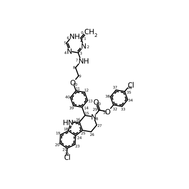 C=C/N=C(\N=C/N)NCCOc1ccc(C2c3[nH]c4ccc(Cl)cc4c3CCN2C(=O)Oc2ccc(Cl)cc2)cc1